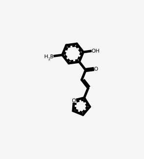 Bc1ccc(O)c(C(=O)/C=C/c2ccco2)c1